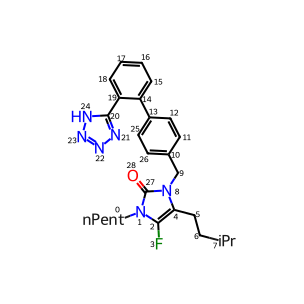 CCCCCn1c(F)c(CCC(C)C)n(Cc2ccc(-c3ccccc3-c3nnn[nH]3)cc2)c1=O